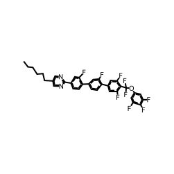 CCCCCCc1cnc(-c2ccc(-c3ccc(-c4cc(F)c(C(F)(F)Oc5cc(F)c(F)c(F)c5)c(F)c4)c(F)c3)c(F)c2)nc1